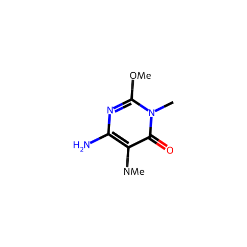 CNc1c(N)nc(OC)n(C)c1=O